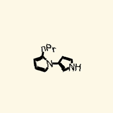 CCCc1cccn1-c1cc[nH]c1